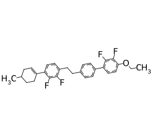 CCOc1ccc(-c2ccc(CCc3ccc(C4=CCC(C)CC4)c(F)c3F)cc2)c(F)c1F